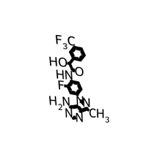 Cc1nn(-c2ccc(NC(=O)C(O)c3cccc(C(F)(F)F)c3)c(F)c2)c2c(N)ncnc12